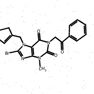 Cn1c(=O)n(CC(=O)c2ccccc2)c(=O)c2c1nc(Br)n2CC1=CCCC1